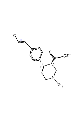 COC(=O)[C@H]1CN(C)CC[C@@H]1c1ccc(/C=C/Cl)cc1